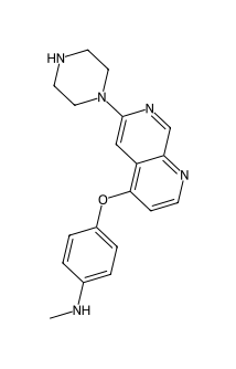 CNc1ccc(Oc2ccnc3cnc(N4CCNCC4)cc23)cc1